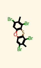 Cc1c(Br)cc2c(c1Br)Sc1c(cc(Br)c(C)c1Br)O2